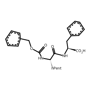 CCCCC[C@H](NC(=O)OCc1ccccc1)C(=O)N[C@@H](Cc1ccccc1)C(=O)O